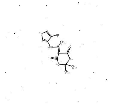 CC(Nc1cscc1Br)=C1C(=O)OC(C)(C)OC1=O